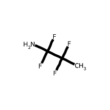 CC(F)(F)C(N)(F)F